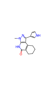 Cn1nc(-c2cc[nH]c2)c2c3c(c(=O)[nH]c21)CCCC3